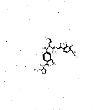 C\C=C/N=C(Nc1ccc(C(=O)NC2CCCC2N)c(CC)c1)\C(C)=N\C=C(/C)c1ccc(NC)c(F)c1F